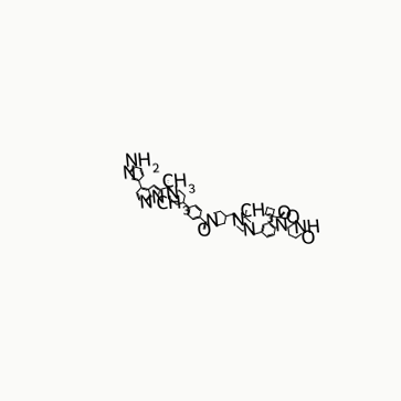 C[C@H]1CN(Cc2ccc3c(c2)C2(CCC2)C(=O)N3C2CCC(=O)NC2=O)CCN1CC1CCN(C(=O)c2ccc(C3CCN([C@@H](C)c4cc5c(-c6ccc(N)nc6)ccnc5n4C)CC3)cc2)CC1